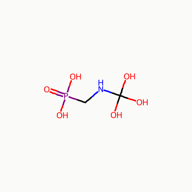 O=P(O)(O)CNC(O)(O)O